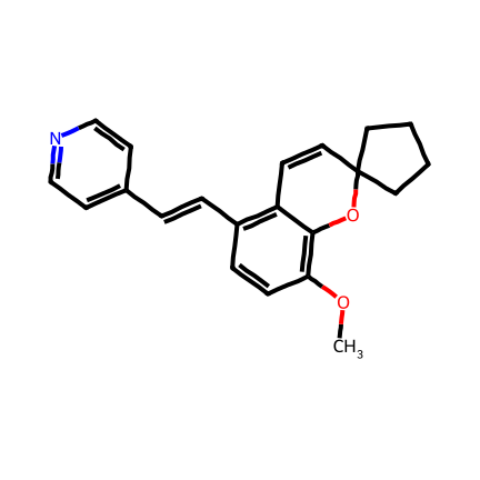 COc1ccc(C=Cc2ccncc2)c2c1OC1(C=C2)CCCC1